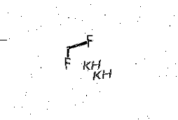 FCF.[KH].[KH]